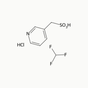 Cl.FC(F)F.O=S(=O)(O)Cc1cccnc1